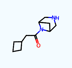 O=C(CC1CCC1)N1C2CNCC1C2